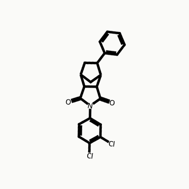 O=C1C2C3CC(c4ccccc4)C(C3)C2C(=O)N1c1ccc(Cl)c(Cl)c1